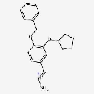 O=[N+]([O-])/C=C/c1ccc(OCc2ccccc2)c(OC2CCCC2)c1